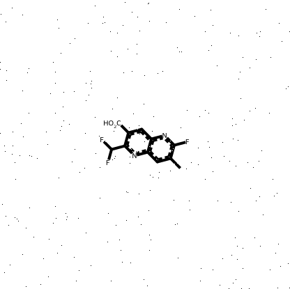 Cc1cc2nc(C(F)F)c(C(=O)O)cc2nc1F